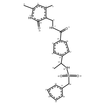 Cc1cc(C)c(CNC(=O)c2ccc(C(C)NS(=O)(=O)Cc3ccccc3)cc2)c(=O)[nH]1